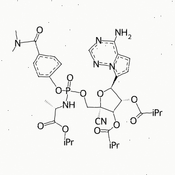 CC(C)OC(=O)[C@H](C)NP(=O)(OC[C@@]1(C#N)O[C@@H](c2ccc3c(N)ncnn23)[C@H](OC(=O)C(C)C)C1OC(=O)C(C)C)Oc1ccc(C(=O)N(C)C)cc1